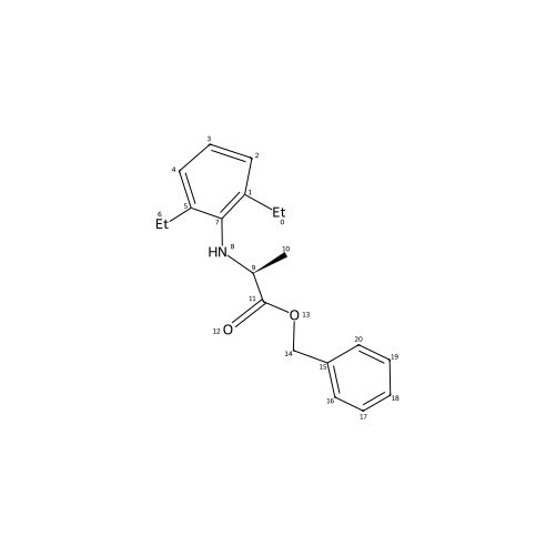 CCc1cccc(CC)c1N[C@@H](C)C(=O)OCc1ccccc1